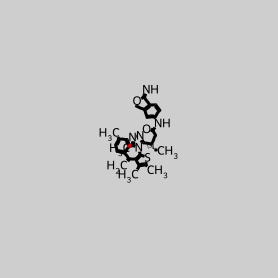 C=C(c1ccc(C)cc1)c1c(-n2c(C)nnc2[C@@H](CC)CC(=O)Nc2ccc3c(c2)COC3=N)sc(C)c1C